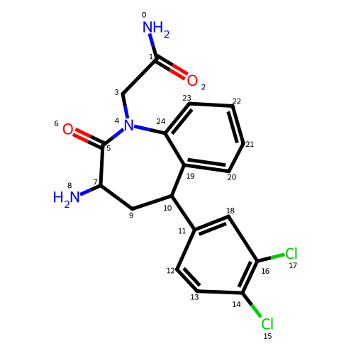 NC(=O)CN1C(=O)C(N)CC(c2ccc(Cl)c(Cl)c2)c2ccccc21